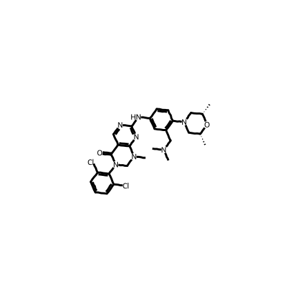 C[C@@H]1CN(c2ccc(Nc3ncc4c(n3)N(C)CN(c3c(Cl)cccc3Cl)C4=O)cc2CN(C)C)C[C@H](C)O1